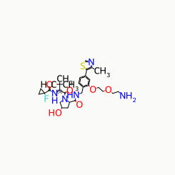 Cc1ncsc1-c1ccc(CNC(=O)C2CC(O)CN2C(=O)[C@@H](NC(=O)C2(F)CC2)C(C)(C)C)c(OCCOCCN)c1